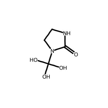 O=C1NCCN1C(O)(O)O